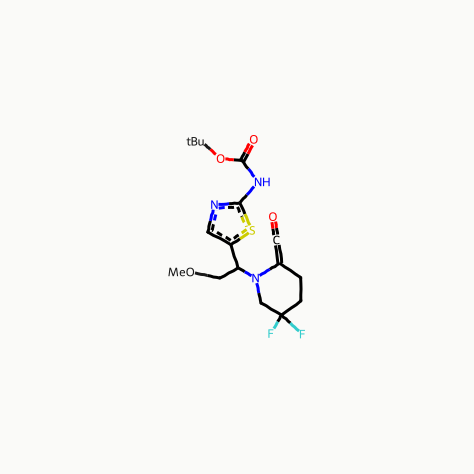 COCC(c1cnc(NC(=O)OC(C)(C)C)s1)N1CC(F)(F)CCC1=C=O